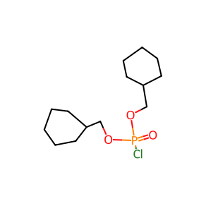 O=P(Cl)(OCC1CCCCC1)OCC1CCCCC1